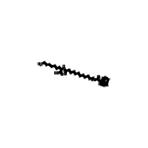 CCCCCCCCC(NC(=O)CCCCCCCCCCCNC(=O)NC12CC3CC(CC(C3)C1)C2)C(=O)O